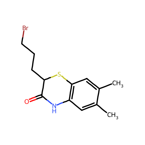 Cc1cc2c(cc1C)SC(CCCBr)C(=O)N2